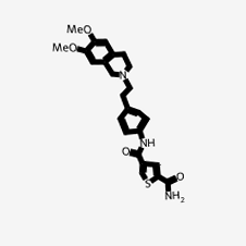 COc1cc2c(cc1OC)CN(CCc1ccc(NC(=O)c3[c]c(C(N)=O)sc3)cc1)CC2